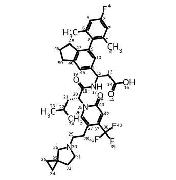 Cc1cc(F)cc(C)c1-c1cc([C@@H](CC(=O)O)NC(=O)[C@@H](CC(C)C)n2cc(CCN3CCC4(CC4)C3)c(C(F)(F)F)cc2=O)cc2c1CCC2